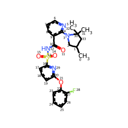 CC1CN(c2ncccc2C(=O)NS(=O)(=O)c2cccc(Oc3ccccc3F)n2)C(C)(C)C1